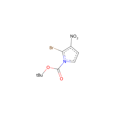 CC(C)(C)OC(=O)n1ccc([N+](=O)[O-])c1Br